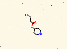 NCCC(=O)OC1CCNCC1